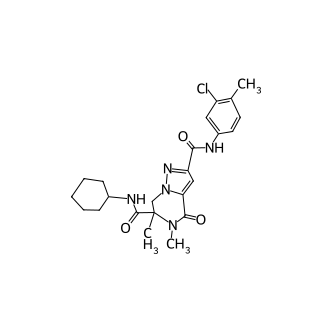 Cc1ccc(NC(=O)c2cc3n(n2)CC(C)(C(=O)NC2CCCCC2)N(C)C3=O)cc1Cl